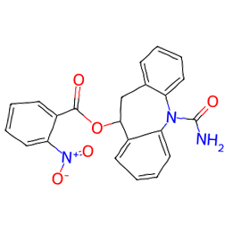 NC(=O)N1c2ccccc2CC(OC(=O)c2ccccc2[N+](=O)[O-])c2ccccc21